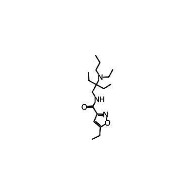 CCCN(CC)C(CC)(CC)CNC(=O)c1cc(CC)on1